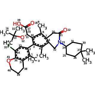 Cc1c(-c2c(C)c3c(c(C)c2[C@H](OC(C)(C)C)C(=O)O)CC(=O)N(C2CCC(C)(C)CC2)C3)cc(F)c2c1CCCO2